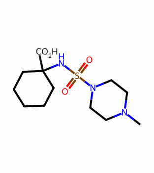 CN1CCN(S(=O)(=O)NC2(C(=O)O)CCCCC2)CC1